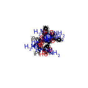 CC(C)CC[C@@H](NC(=O)[C@H](CCN)NC(=O)[C@H](CC(C)C)NC(=O)[C@@H](Cc1ccccc1)NC(=O)[C@H](CCN)NC(=O)[C@H](Cc1ccccc1)NC(=O)[C@H](CCN)NC(=O)[C@@H](N)CC1CCCCC1)C(=O)N[C@@H](Cc1ccccc1)C(=O)N[C@@H](CO)C(N)=O